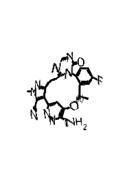 C[C@H]1Oc2cc(nnc2N)-c2c(nn(C)c2C#N)Cc2ncnc(=O)n2-c2ccc(F)cc21